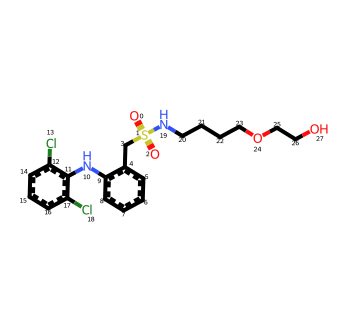 O=S(=O)(Cc1ccccc1Nc1c(Cl)cccc1Cl)NCCCCOCCO